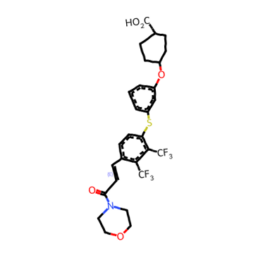 O=C(O)C1CCC(Oc2cccc(Sc3ccc(/C=C/C(=O)N4CCOCC4)c(C(F)(F)F)c3C(F)(F)F)c2)CC1